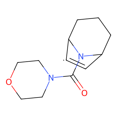 O=C(N1CCOCC1)N1C2[C]=CC1CCC2